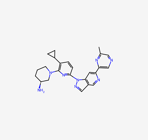 Cc1cncc(-c2cc3c(cn2)cnn3-c2ccc(C3CC3)c(N3CCC[C@H](N)C3)n2)n1